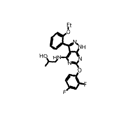 CCOc1ccccc1-c1n[nH]c2nc(Oc3ccc(F)cc3F)nc(NCC(C)O)c12